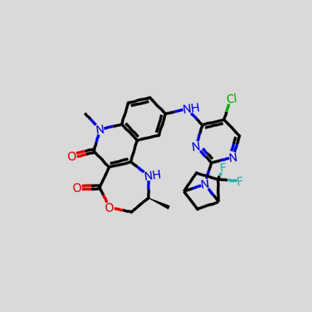 C[C@H]1COC(=O)c2c(c3cc(Nc4nc(N5C6CC5C(F)(F)C6)ncc4Cl)ccc3n(C)c2=O)N1